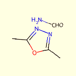 Cc1nnc(C)o1.NC=O